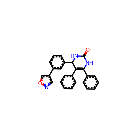 O=C1NC(c2ccccc2)=C(c2ccccc2)C(c2cccc(-c3cnoc3)c2)N1